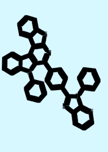 c1ccc(-n2c(-c3ccc(-c4nc5sc6ccccc6c5c5c6ccccc6n(-c6ccccc6)c45)cc3)nc3cccnc32)cc1